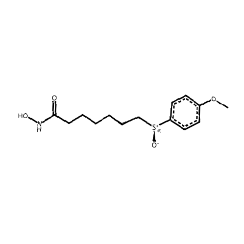 COc1ccc([S@@+]([O-])CCCCCCC(=O)NO)cc1